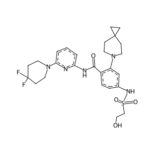 O=C(Nc1cccc(N2CCC(F)(F)CC2)n1)c1ccc(NS(=O)(=O)CCO)cc1N1CCC2(CC1)CC2